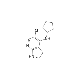 Clc1cnc2c(c1NC1CCCC1)CCN2